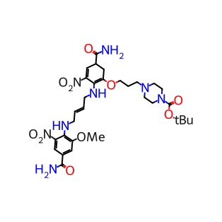 COc1cc(C(N)=O)cc([N+](=O)[O-])c1NC/C=C/CNC1=C(OCCCN2CCN(C(=O)OC(C)(C)C)CC2)CC(C(N)=O)C=C1[N+](=O)[O-]